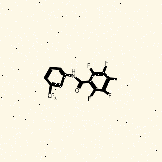 Cc1c(F)c(F)c(C(=O)Nc2cccc(C(F)(F)F)c2)c(F)c1F